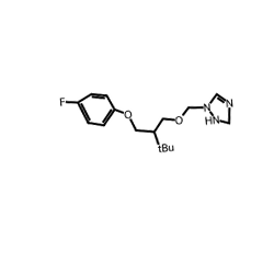 CC(C)(C)C(COCN1C=NCN1)COc1ccc(F)cc1